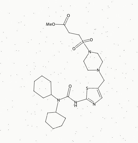 COC(=O)CCS(=O)(=O)N1CCN(Cc2cnc(NC(=O)N(C3CCCCC3)C3CCCCC3)s2)CC1